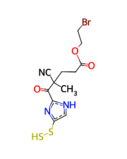 CC(C#N)(CCC(=O)OCCBr)C(=O)c1nc(SS)c[nH]1